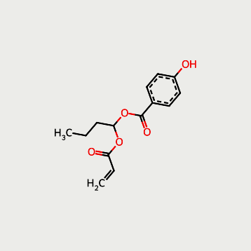 C=CC(=O)OC(CCC)OC(=O)c1ccc(O)cc1